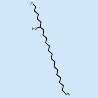 CCCCCCCCCCCCCCCCCC(O)CCCCCC